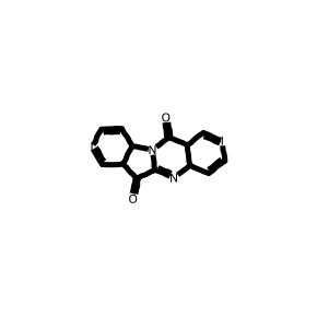 O=C1C2=NC3C=CI=CC3C(=O)N2C2C=CI=CC12